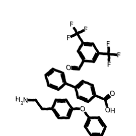 NCCc1ccc(Oc2ccccc2)cc1.O=C(O)c1ccc(-c2ccccc2)cc1.O=Cc1cc(C(F)(F)F)cc(C(F)(F)F)c1